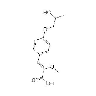 CO/C(=C\c1ccc(OCC(C)O)cc1)C(=O)O